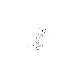 O=[N+]([O-])c1cc([N+](=O)[O-])c(/N=N/c2nc(/N=N/c3c([N+](=O)[O-])cc([N+](=O)[O-])cc3[N+](=O)[O-])c([N+](=O)[O-])cc2[N+](=O)[O-])c([N+](=O)[O-])c1